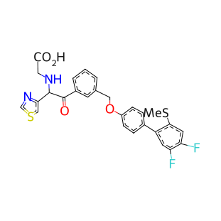 CSc1cc(F)c(F)cc1-c1ccc(OCc2cccc(C(=O)C(NCC(=O)O)c3cscn3)c2)cc1